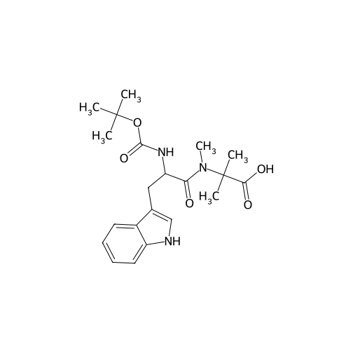 CN(C(=O)C(Cc1c[nH]c2ccccc12)NC(=O)OC(C)(C)C)C(C)(C)C(=O)O